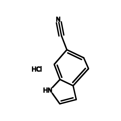 Cl.N#Cc1ccc2cc[nH]c2c1